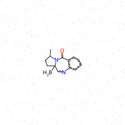 BC12C=Nc3ccccc3C(=O)N1C(C)CC2